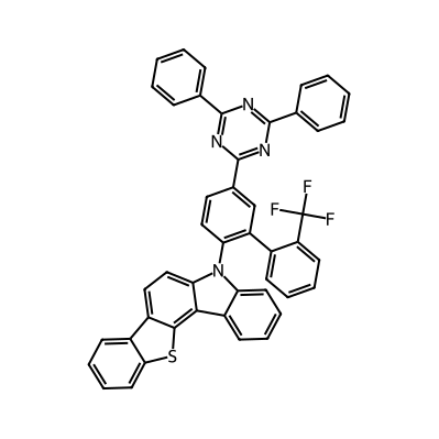 FC(F)(F)c1ccccc1-c1cc(-c2nc(-c3ccccc3)nc(-c3ccccc3)n2)ccc1-n1c2ccccc2c2c3sc4ccccc4c3ccc21